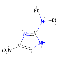 CCN(CC)c1nc([N+](=O)[O-])c[nH]1